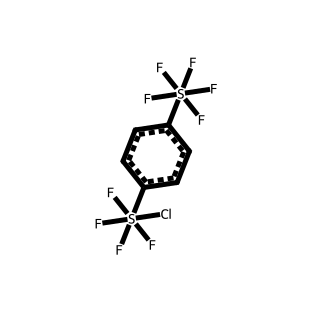 FS(F)(F)(F)(F)c1ccc(S(F)(F)(F)(F)Cl)cc1